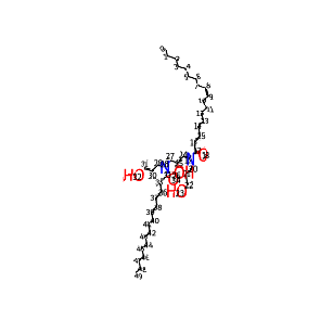 CCCCCCCC/C=C\CCCCCCCC(=O)N(CCCO)CC(O)CN(CCCO)C(=O)CCCCCCCCCCCCCCC